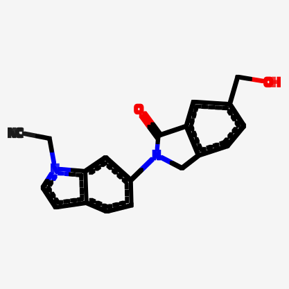 N#CCn1ccc2ccc(N3Cc4ccc(CO)cc4C3=O)cc21